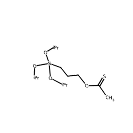 CC(=S)OCCC[Si](OC(C)C)(OC(C)C)OC(C)C